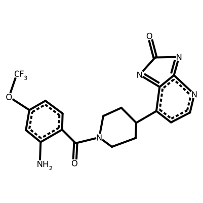 Nc1cc(OC(F)(F)F)ccc1C(=O)N1CCC(c2ccnc3c2=NC(=O)N=3)CC1